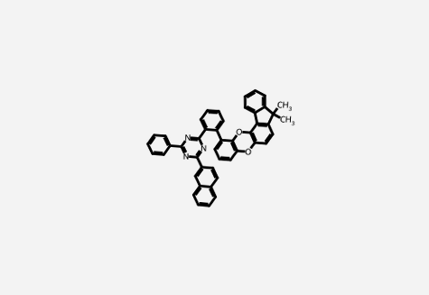 CC1(C)c2ccccc2-c2c1ccc1c2Oc2c(cccc2-c2ccccc2-c2nc(-c3ccccc3)nc(-c3ccc4ccccc4c3)n2)O1